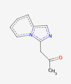 CC(=O)Cc1ncc2ccccn12